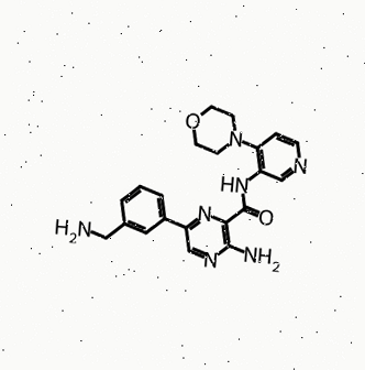 NCc1cccc(-c2cnc(N)c(C(=O)Nc3cnccc3N3CCOCC3)n2)c1